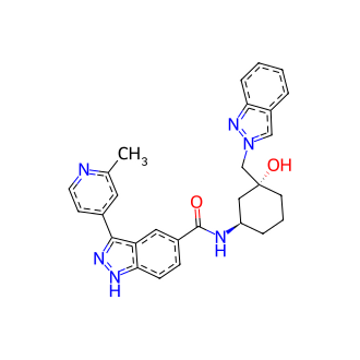 Cc1cc(-c2n[nH]c3ccc(C(=O)N[C@@H]4CCC[C@](O)(Cn5cc6ccccc6n5)C4)cc23)ccn1